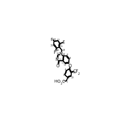 O=C(O)Cc1ccc(Oc2ccc3c(c2)c(=O)ncn3Cc2c(F)cc(F)cc2F)c(C(F)(F)F)c1